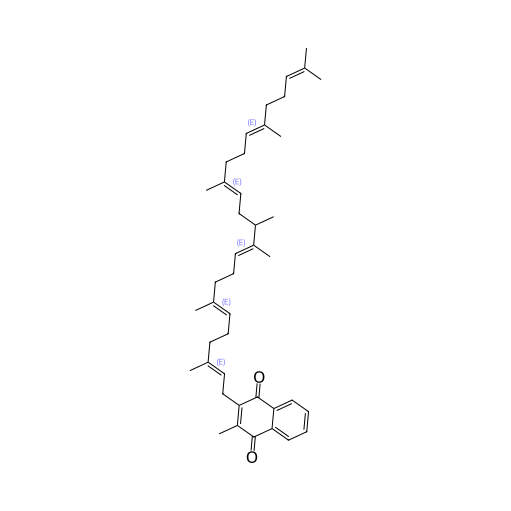 CC(C)=CCC/C(C)=C/CC/C(C)=C/CC(C)/C(C)=C/CC/C(C)=C/CC/C(C)=C/CC1=C(C)C(=O)c2ccccc2C1=O